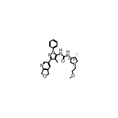 COCCN1C[C@@H](C)[C@H](NC(=O)Nc2c(C)c(-c3cnc4c(c3)COC4)nn2-c2ccccc2)C1